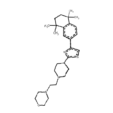 CC1(C)CCC(C)(C)c2cc(-c3csc(C4CCN(CCN5CCOCC5)CC4)n3)ccc21